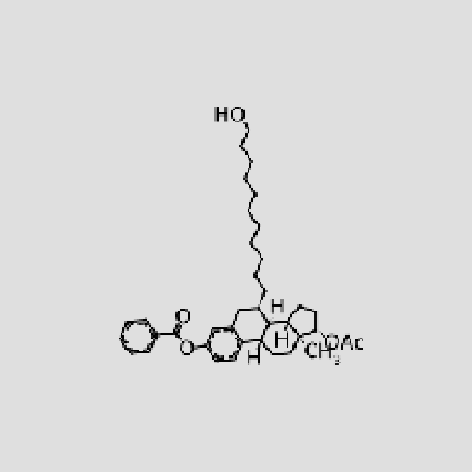 CC(=O)O[C@H]1CC[C@H]2[C@@H]3[C@H](CCCCCCCCCCCO)Cc4cc(OC(=O)c5ccccc5)ccc4[C@H]3CC[C@]12C